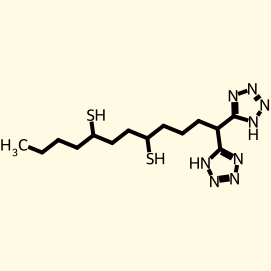 CCCCC(S)CCC(S)CCCC(c1nnn[nH]1)c1nnn[nH]1